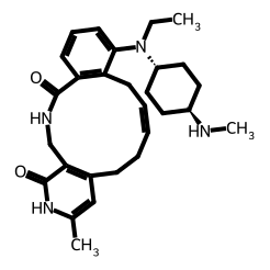 CCN(c1cccc2c1CC=CCCc1cc(C)[nH]c(=O)c1CNC2=O)[C@H]1CC[C@H](NC)CC1